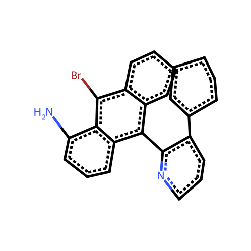 Nc1cccc2c(-c3ncccc3-c3ccccc3)c3ccccc3c(Br)c12